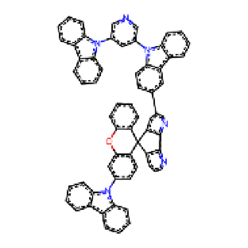 c1ccc2c(c1)Oc1cc(-n3c4ccccc4c4ccccc43)ccc1C21c2cccnc2-c2ncc(-c3ccc4c(c3)c3ccccc3n4-c3cncc(-n4c5ccccc5c5ccccc54)c3)cc21